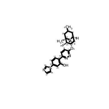 CC1C[C@H]2C[C@H](Oc3ccc(-c4ccc(-n5ccnc5)cc4O)nn3)[C@@H](F)[C@@](C)(C1)N2C